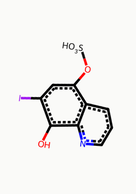 O=S(=O)(O)Oc1cc(I)c(O)c2ncccc12